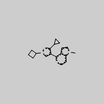 Cn1ccc2c(-c3cn(C4CCC4)nc3C3CC3)nccc21